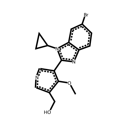 COc1c(CO)cncc1-c1nc2ccc(Br)cc2n1C1CC1